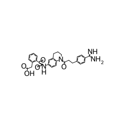 N=C(N)c1ccc(CCC(=O)N2CCCc3cc(NS(=O)(=O)c4ccccc4CC(=O)O)ccc32)cc1